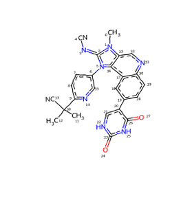 Cn1c(=NC#N)n(-c2ccc(C(C)(C)C#N)nc2)c2c3cc(-c4c[nH]c(=O)[nH]c4=O)ccc3ncc21